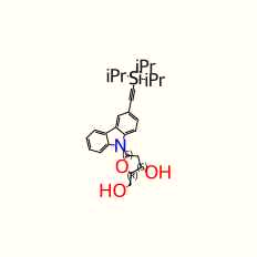 CC(C)[Si](C#Cc1ccc2c(c1)c1ccccc1n2[C@@H]1C[C@H](O)[C@@H](CO)O1)(C(C)C)C(C)C